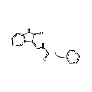 O=C(CCc1ccccc1)N/N=C1\C(=O)Nc2ccccc21